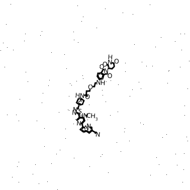 CNc1cc(-c2ccc3cc(C#N)cnn23)ncc1-c1nnc(C23CCC(NC(=O)CCOCCNc4ccc5c(c4)C(=O)N(C4CCC(=O)NC4=O)C5=O)(CC2)CC3)s1